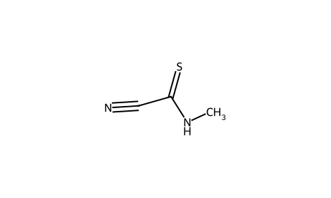 CNC(=S)C#N